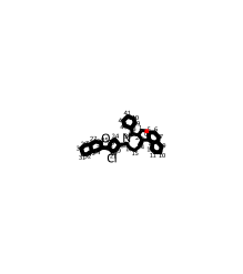 CCC1/C(c2cccc3ccccc23)=C\CC/C(c2cc(Cl)c3c(c2)oc2cc4ccccc4cc23)=N\C1c1ccccc1